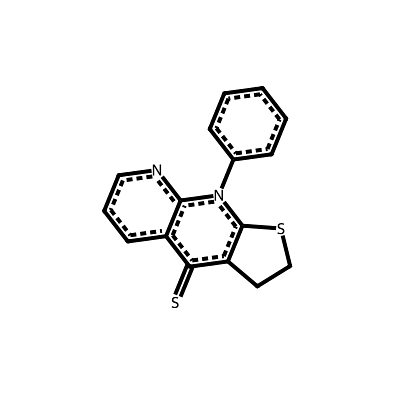 S=c1c2c(n(-c3ccccc3)c3ncccc13)SCC2